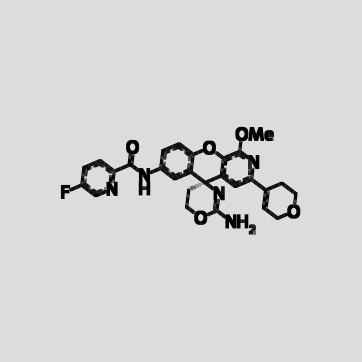 COc1nc(C2=CCOCC2)cc2c1Oc1ccc(NC(=O)c3ccc(F)cn3)cc1[C@@]21CCOC(N)=N1